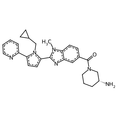 Cn1c(-c2ccc(-c3ccccn3)n2CC2CC2)nc2cc(C(=O)N3CCC[C@@H](N)C3)ccc21